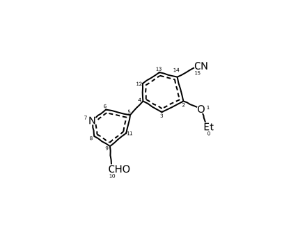 CCOc1cc(-c2cncc(C=O)c2)ccc1C#N